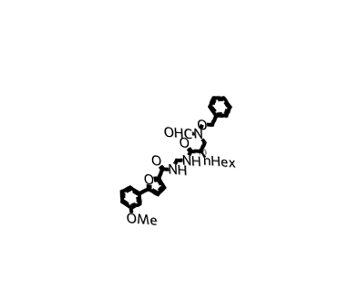 CCCCCC[C@H](CN(C=O)OCc1ccccc1)C(=O)NCNC(=O)c1ccc(-c2cccc(OC)c2)o1